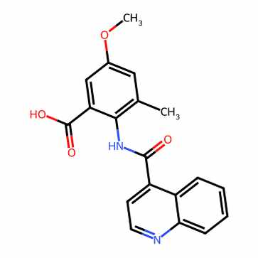 COc1cc(C)c(NC(=O)c2ccnc3ccccc23)c(C(=O)O)c1